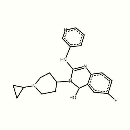 OC1c2cc(F)ccc2N=C(Nc2cccnc2)N1C1CCN(C2CC2)CC1